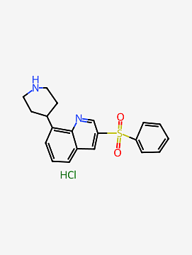 Cl.O=S(=O)(c1ccccc1)c1cnc2c(C3CCNCC3)cccc2c1